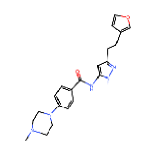 CN1CCN(c2ccc(C(=O)Nc3cc(CCc4ccoc4)n[nH]3)cc2)CC1